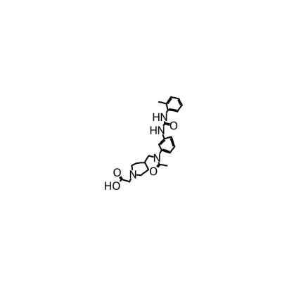 CC(=O)N(CC1CCN(CC(=O)O)CC1)c1cccc(NC(=O)Nc2ccccc2C)c1